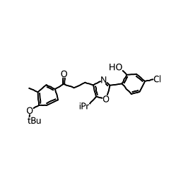 Cc1cc(C(=O)CCc2nc(-c3ccc(Cl)cc3O)oc2C(C)C)ccc1OC(C)(C)C